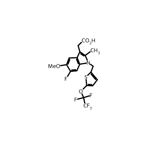 COc1cc2c(CC(=O)O)c(C)n(Cc3ccc(OC(F)(F)C(F)(F)F)s3)c2cc1F